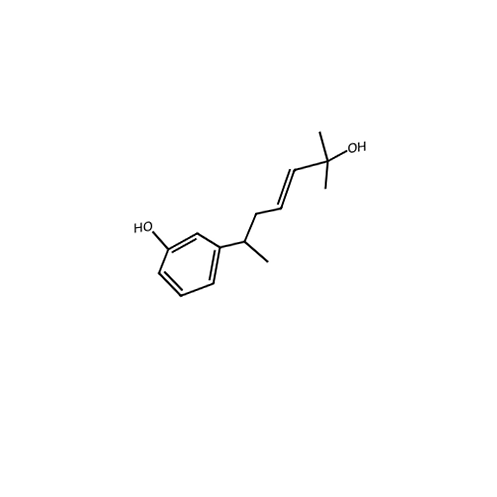 CC(CC=CC(C)(C)O)c1cccc(O)c1